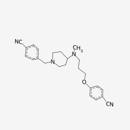 CN(CCCOc1ccc(C#N)cc1)C1CCN(Cc2ccc(C#N)cc2)CC1